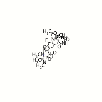 C=NN(C)/C(=N\C)[C@H]1OCC(=O)N1c1noc2c(F)c3c(cc12)CC1(C(=O)NC(=O)NC1=O)[C@H]1[C@H](C)O[C@H](C)CN31